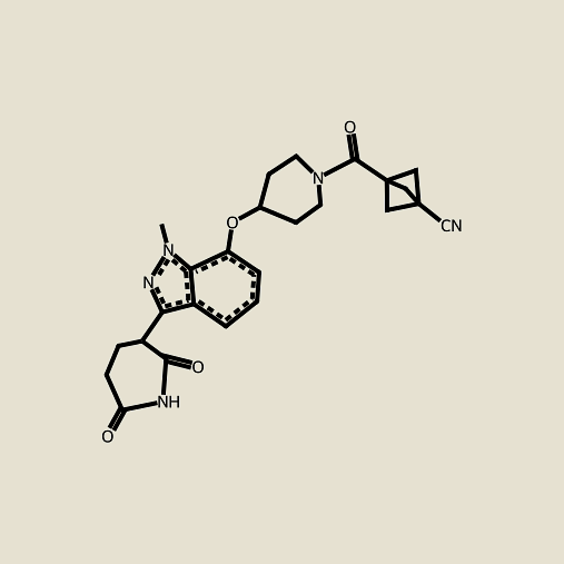 Cn1nc(C2CCC(=O)NC2=O)c2cccc(OC3CCN(C(=O)C45CC(C#N)(C4)C5)CC3)c21